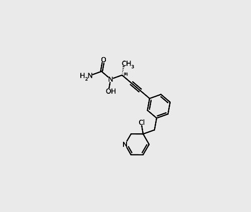 C[C@H](C#Cc1cccc(CC2(Cl)C=CC=NC2)c1)N(O)C(N)=O